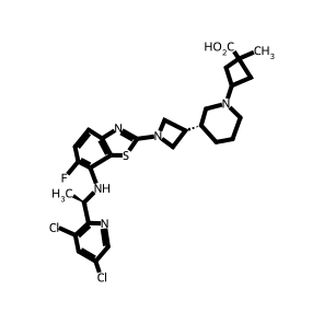 C[C@@H](Nc1c(F)ccc2nc(N3CC([C@H]4CCCN(C5CC(C)(C(=O)O)C5)C4)C3)sc12)c1ncc(Cl)cc1Cl